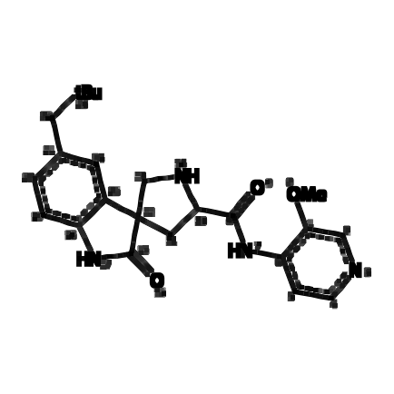 COc1cnccc1NC(=O)C1CC2(CN1)C(=O)Nc1ccc(CC(C)(C)C)cc12